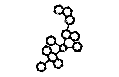 c1ccc(-c2sc(-c3c4ccccc4c(-c4ccccc4)c4ccccc34)c(-c3ccccc3)c2-c2ccc(-c3ccc4ccc5cccnc5c4n3)c3ccccc23)cc1